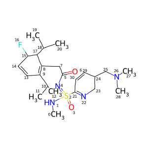 CNS(=O)(=NC(=O)CC1=C(C(C)C)C=CC(F)C1C(C)C)C1=NCC(CN(C)C)C=C1